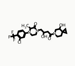 CC1C(=O)N(CC(O)CC(=O)N2CCC3(CC3)C(O)C2)CCN1c1ccc(C(F)(F)F)c(Cl)c1